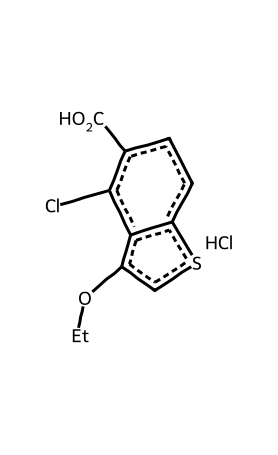 CCOc1csc2ccc(C(=O)O)c(Cl)c12.Cl